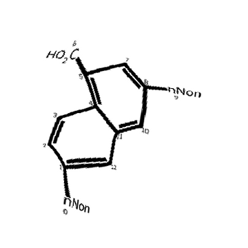 CCCCCCCCCc1ccc2c(C(=O)O)cc(CCCCCCCCC)cc2c1